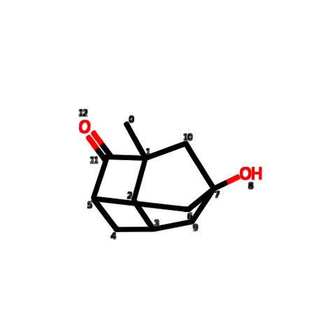 CC12CC3CC(CC(O)(C3)C1)C2=O